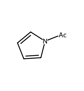 [Ac][n]1cccc1